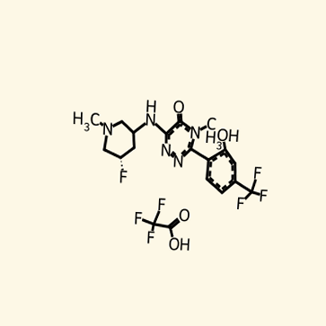 CN1CC(Nc2nnc(-c3ccc(C(F)(F)F)cc3O)n(C)c2=O)C[C@H](F)C1.O=C(O)C(F)(F)F